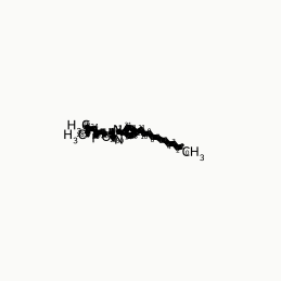 CCCCCCCCCCCCc1ccc(-c2ncc(OCC(F)CC(C)CC)cn2)cc1